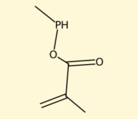 C=C(C)C(=O)OPC